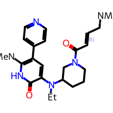 CCN(c1cc(-c2ccncc2)c(NC)[nH]c1=O)C1CCCN(C(=O)/C=C/CNC)C1